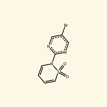 O=S1(=O)C=CC=CN1c1ncc(Br)cn1